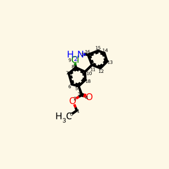 CCOC(=O)c1ccc(Cl)c(-c2ccccc2N)c1